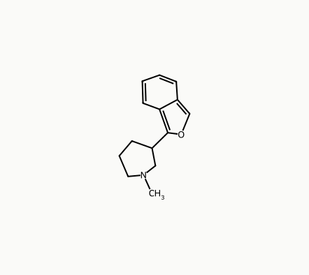 CN1CCCC(c2occ3ccccc23)C1